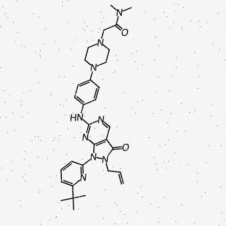 C=CCn1c(=O)c2cnc(Nc3ccc(N4CCN(CC(=O)N(C)C)CC4)cc3)nc2n1-c1cccc(C(C)(C)C)n1